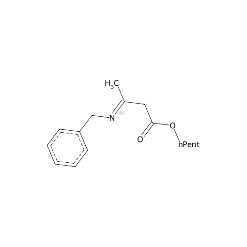 CCCCCOC(=O)C/C(C)=N/Cc1ccccc1